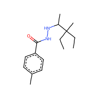 CCC(C)(CC)C(C)NNC(=O)c1ccc(C)cc1